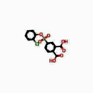 O=C(O)c1ccc(S(=O)(=O)Oc2ccccc2Cl)cc1C(=O)O